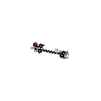 Cc1ccc([C@@H](C2CN3CCC2CC3)N(C(=O)O)c2cccc(OCCCCCCCCCNC[C@H](O)c3ccc(O)c4[nH]c(=O)ccc34)c2)cc1